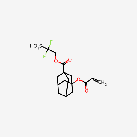 C=CC(=O)OC12CC3CC(C1)CC(C(=O)OCC(F)(F)S(=O)(=O)O)(C3)C2